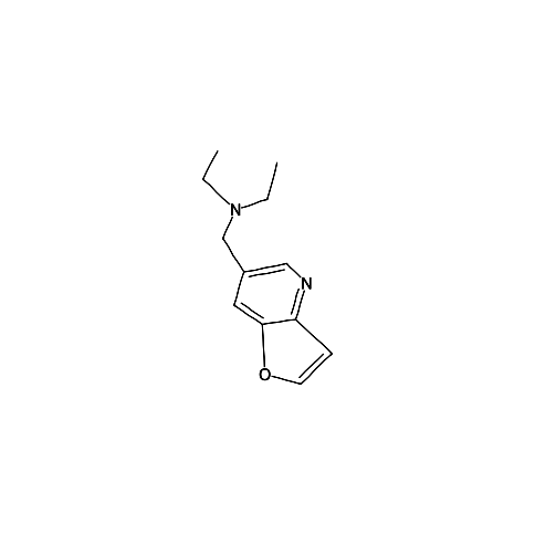 CCN(CC)Cc1cnc2ccoc2c1